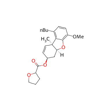 CCCCc1ccc(OC)c2c1[C@]1(C)C=C[C@H](OC(=O)C3CCCO3)C[C@@H]1O2